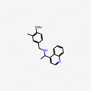 COc1ccc(CNC(C)c2ccnc3ccccc23)cc1C